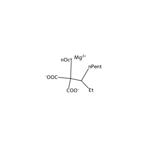 CCCCCCCCC(C(=O)[O-])(C(=O)[O-])C(CC)CCCCC.[Mg+2]